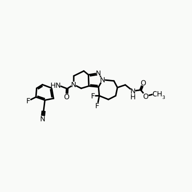 COC(=O)NCC1CCC(F)(F)c2c3c(nn2C1)CCN(C(=O)Nc1ccc(F)c(C#N)c1)C3